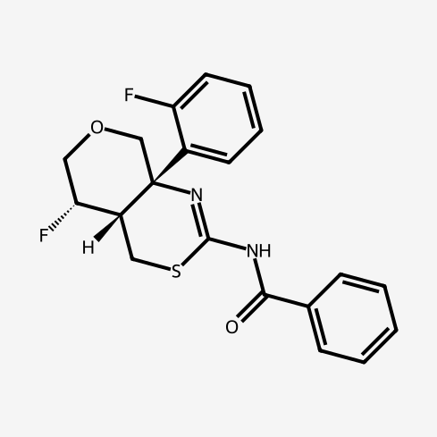 O=C(NC1=N[C@@]2(c3ccccc3F)COC[C@@H](F)[C@H]2CS1)c1ccccc1